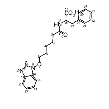 O=C(CCCCCOn1nnc2ccccc21)N[C@@H](Cc1ccccc1)C(=O)O